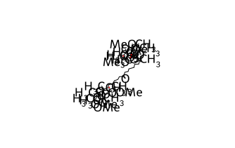 COC(C)OC(C)O[Si](OC(C)OC(C)OC)(OC(C)OC(C)OC)C(C)CCCCCCC(=O)CCCCCCC(C)[Si](OC(C)OC(C)OC)(OC(C)OC(C)OC)OC(C)OC(C)OC